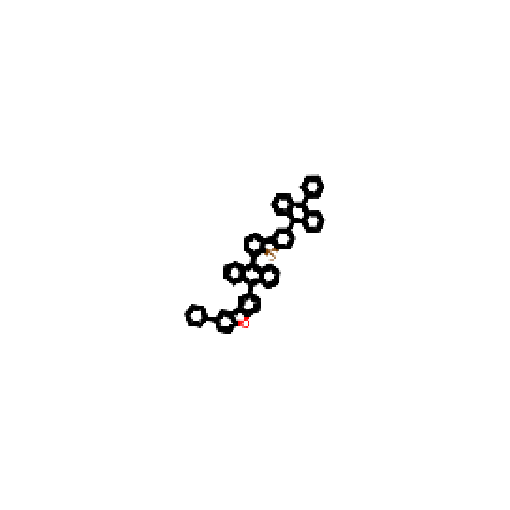 c1ccc(-c2ccc3oc4ccc(-c5c6ccccc6c(-c6cccc7c6sc6ccc(-c8c9ccccc9c(-c9ccccc9)c9ccccc89)cc67)c6ccccc56)cc4c3c2)cc1